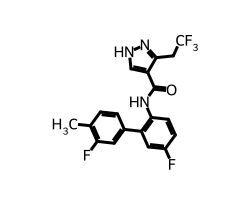 Cc1ccc(-c2cc(F)ccc2NC(=O)c2c[nH]nc2CC(F)(F)F)cc1F